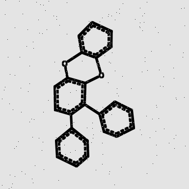 c1ccc(-c2ccc3c(c2-c2ccccc2)Oc2ccccc2O3)cc1